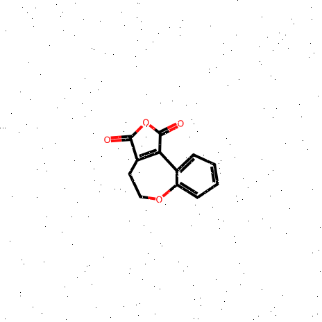 O=C1OC(=O)C2=C1CCOc1ccccc12